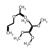 C=CCOC(C)=O.COC([SiH3])=C(OC)OC